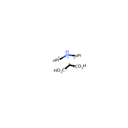 CCCNCCC.O=C(O)CC(=O)O